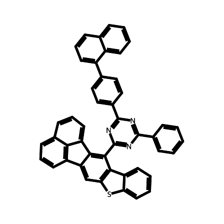 c1ccc(-c2nc(-c3ccc(-c4cccc5ccccc45)cc3)nc(-c3c4c(cc5sc6ccccc6c35)-c3cccc5cccc-4c35)n2)cc1